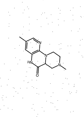 Cc1cnc2c(c1)NC(=O)C1CN(C)CCN21